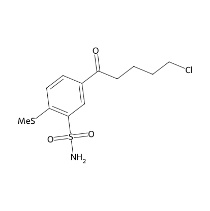 CSc1ccc(C(=O)CCCCCl)cc1S(N)(=O)=O